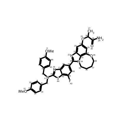 COc1ccc(CN(Cc2ccc(OC)cc2)c2nc3cc(-c4nc5cc(OC(C)C(N)=O)cc6c5n4CCCCO6)cc(F)c3s2)cc1